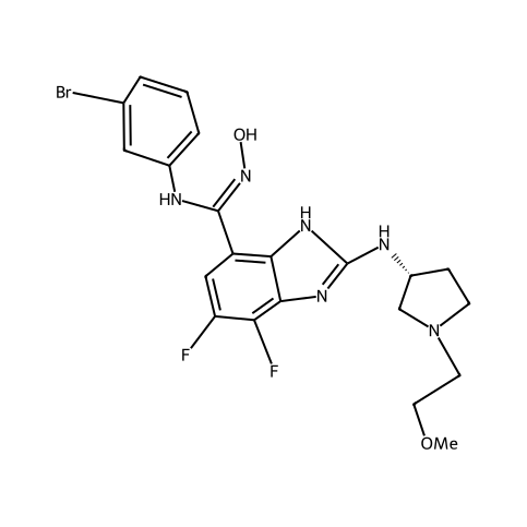 COCCN1CC[C@@H](Nc2nc3c(F)c(F)cc(C(=NO)Nc4cccc(Br)c4)c3[nH]2)C1